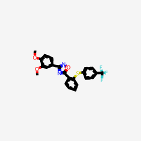 COc1ccc(-c2noc(-c3ccccc3Sc3ccc(C(F)(F)F)cc3)n2)cc1OC